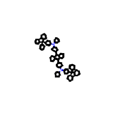 c1ccc(N(c2ccc(-c3c4ccccc4c(-c4ccc(N(c5ccccc5)c5ccc(C6(c7ccccc7)c7ccccc7-c7ccccc76)cc5)cc4)c4ccccc34)cc2)c2ccc(C3(c4ccccc4)c4ccccc4-c4ccccc43)cc2)cc1